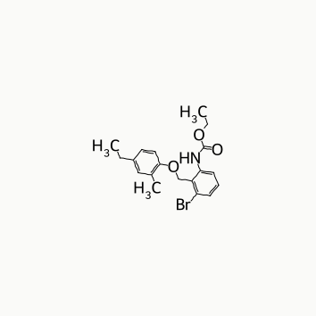 CCOC(=O)Nc1cccc(Br)c1COc1ccc(CC)cc1C